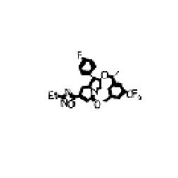 CCc1noc(C2=CC(=O)N3C[C@H](O[C@H](C)c4cc(C)cc(C(F)(F)F)c4)[C@@H](c4ccc(F)cc4)C3C2)n1